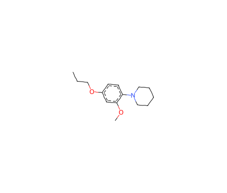 CCCOc1ccc(N2CCCCC2)c(OC)c1